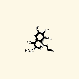 C=CCn1cc(C(=O)O)c(=O)c2cc(F)c(F)c(F)c21